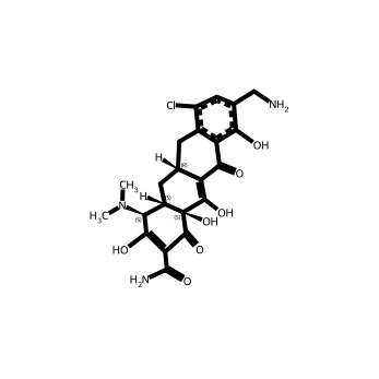 CN(C)[C@@H]1C(O)=C(C(N)=O)C(=O)[C@@]2(O)C(O)=C3C(=O)c4c(O)c(CN)cc(Cl)c4C[C@H]3C[C@@H]12